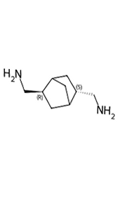 NC[C@@H]1CC2CC1C[C@@H]2CN